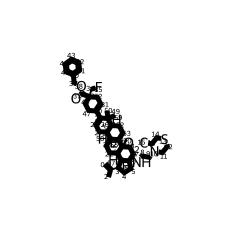 C=C(C)[C@@H]1CC[C@]2(NCCN3CCSCC3C(=O)OCC)CC[C@]3(C)[C@H](CC[C@@H]4[C@@]5(C)CC=C(C6=CC[C@@](CF)(C(=O)OCc7ccccc7)CC6)C(C)(C)[C@@H]5CC[C@]43C)[C@@H]12